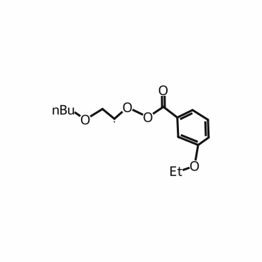 CCCCOC[CH]OOC(=O)c1cccc(OCC)c1